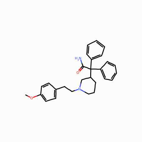 COc1ccc(CCN2CCCC(C(C(N)=O)(c3ccccc3)c3ccccc3)C2)cc1